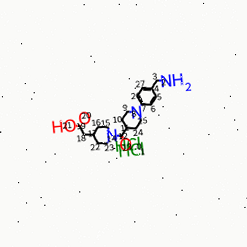 Cl.Cl.NCc1ccc(N2CCC(C(=O)N3CCC(CC(=O)O)CC3)CC2)cc1